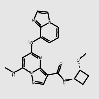 CNc1cc(Nc2cccn3ccnc23)nc2c(C(=O)N[C@@H]3CC[C@H]3OC)cnn12